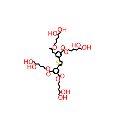 C=C(Cc1cc(C(=O)OCCCCC(O)CO)cc(-c2ccc(-c3cc(C(=O)OCCCCC(O)CO)cc(C(=O)OCCCCC(O)CO)c3)s2)c1)OCCCCC(O)CO